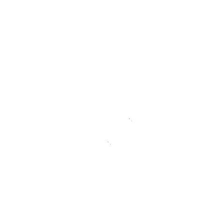 S=C1CN=C(c2ccc(Cl)cc2)c2cc(I)ccc2N1